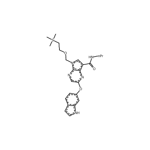 CCCNC(=O)c1cn(COCC[Si](C)(C)C)c2ncc(Oc3ccc4cc[nH]c4c3)nc12